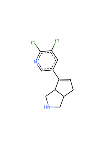 Clc1cc(C2=CCC3CNCC23)cnc1Cl